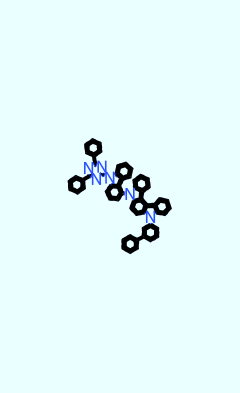 c1ccc(-c2cccc(-n3c4ccccc4c4c5c6ccccc6n(-c6cccc7c6c6ccccc6n7-c6nc(-c7ccccc7)nc(-c7ccccc7)n6)c5ccc43)c2)cc1